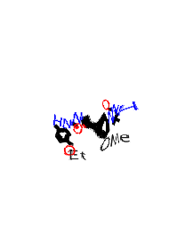 CCOCc1ccc(C)c(Nc2ncc(-c3cc(OC)cc(N4C(=O)NCC4(C)C)c3)o2)c1